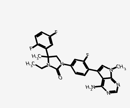 CCN1C(=O)N(c2ccc(-c3cn(C)c4ncnc(N)c34)c(F)c2)CC1(C)c1cc(F)ccc1F